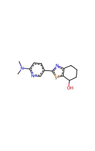 CN(C)c1ccc(-c2nc3c(s2)C(O)CCC3)cn1